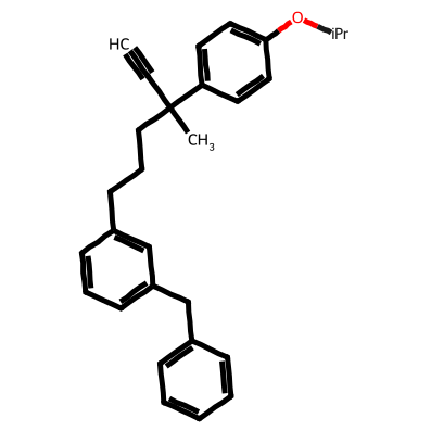 C#CC(C)(CCCc1cccc(Cc2ccccc2)c1)c1ccc(OC(C)C)cc1